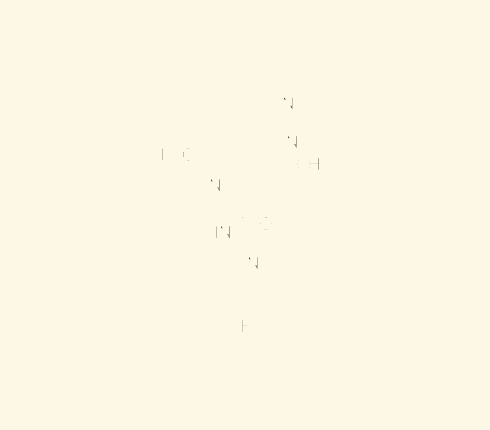 Cc1cc(-c2cncn2C)cc(C(=O)Nc2ccc(F)cn2)n1